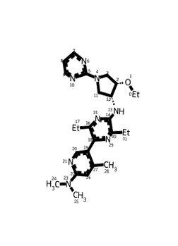 CCO[C@H]1CN(c2ncccn2)C[C@H]1Nc1nc(CC)c(-c2cnc(N(C)C)cc2C)nc1CC